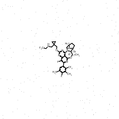 Cc1c(F)c(N)cc(-c2nc3c4c(nc(OCC5(CNCC(F)(F)F)CC5)nc4c2F)N2C[C@H]4CC[C@H](N4)[C@H]2[C@H](C)O3)c1C(F)(F)F